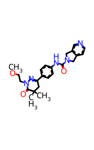 COCCN1N=C(c2ccc(NC(=O)N3Cc4ccncc4C3)cc2)CC(C)(C)C1=O